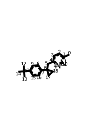 Cc1ccc(CC2(c3ccc(C(C)(C)C)cc3)CC2)nn1